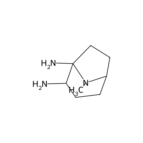 CN1C2CCC(N)C1(N)CC2